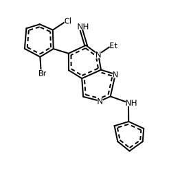 CCn1c(=N)c(-c2c(Cl)cccc2Br)cc2cnc(Nc3ccccc3)nc21